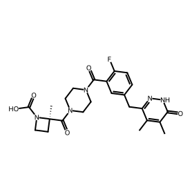 Cc1c(Cc2ccc(F)c(C(=O)N3CCN(C(=O)[C@@]4(C)CCN4C(=O)O)CC3)c2)n[nH]c(=O)c1C